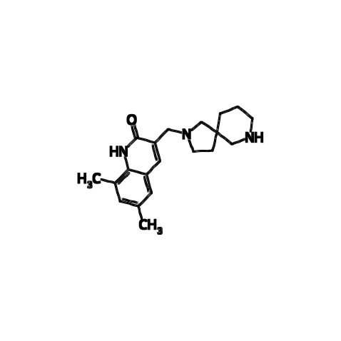 Cc1cc(C)c2[nH]c(=O)c(CN3CCC4(CCCNC4)C3)cc2c1